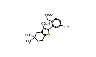 CNCc1ccc(C)cc1-c1sc2c(c1C(=O)O)CC(C)(C)CC2